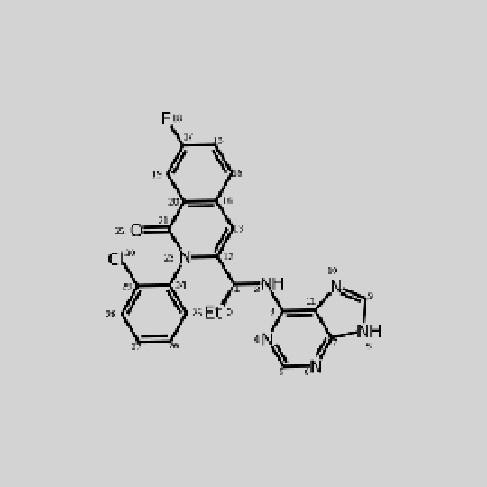 CC[C@H](Nc1ncnc2[nH]cnc12)c1cc2ccc(F)cc2c(=O)n1-c1ccccc1Cl